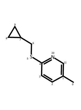 Cc1ccc(SCC2CC2)nc1